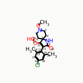 CON1CCC2(CC1)NC(=O)C(c1c(C)cc(Cl)cc1C)=C2OO